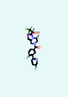 C[C@H]1CN(C(=O)c2ccc(F)c(-c3ccc(F)cn3)c2)Cc2cnc([C@@](C)(O)C(F)(F)F)n21